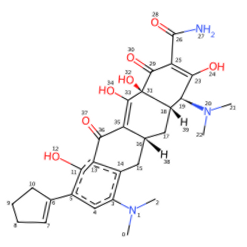 CN(C)c1cc(C2=CCCC2)c(O)c2c1C[C@H]1C[C@H]3[C@H](N(C)C)C(O)=C(C(N)=O)C(=O)[C@@]3(O)C(O)=C1C2=O